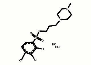 CN1CCN(CCCNS(=O)(=O)c2ccc(Cl)c(Cl)c2Cl)CC1.Cl.Cl